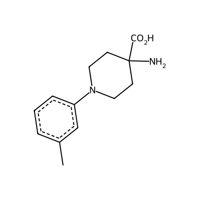 Cc1cccc(N2CCC(N)(C(=O)O)CC2)c1